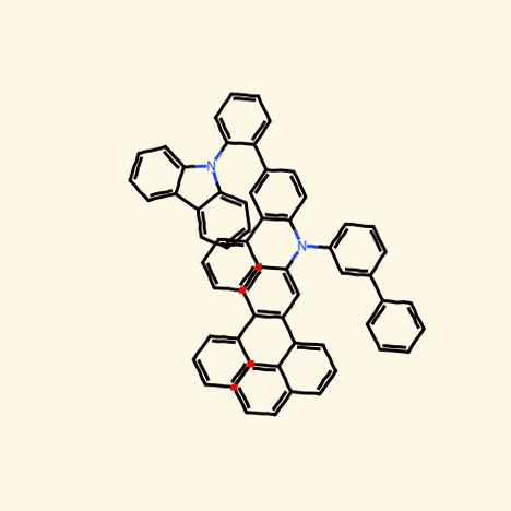 c1ccc(-c2cccc(N(c3ccc(-c4ccccc4)c(-c4cccc5ccccc45)c3)c3ccc(-c4ccccc4-n4c5ccccc5c5ccccc54)cc3-c3ccccc3)c2)cc1